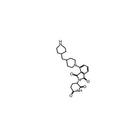 O=C1CCC(N2C(=O)c3cccc(N4CCC(CC5CCNCC5)CC4)c3C2=O)C(=O)N1